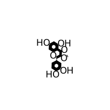 CO[C@@H]1C(=O)c2c(O)cc(O)cc2O[C@H]1c1ccc(O)c(O)c1